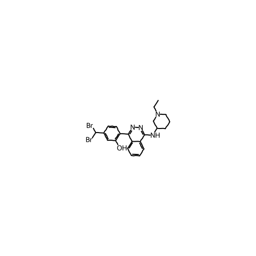 CCN1CCCC(Nc2nnc(-c3ccc(C(Br)Br)cc3O)c3ccccc23)C1